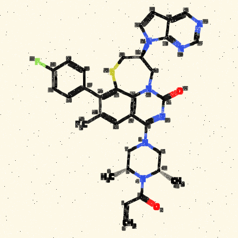 C=CC(=O)N1[C@H](C)CN(c2nc(=O)n3c4c(c(-c5ccc(F)cc5)c(C(F)(F)F)cc24)SC[C@@H](n2ccc4cncnc42)C3)C[C@@H]1C